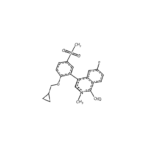 C[n+]1cc(-c2cc(S(C)(=O)=O)ccc2OCC2CC2)c2cc(F)ccc2c1C=O